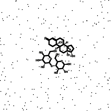 C[C@]12CC[C@H]3[C@@H](CCC4=CC(=O)CC[C@@]43C)[C@@H]1CC[C@@H]2O.OC[C@H]1O[C@@H](O[C@H]2[C@H](O)[C@@H](O)[C@H](O)O[C@@H]2CO)[C@H](O)[C@@H](O)[C@H]1O